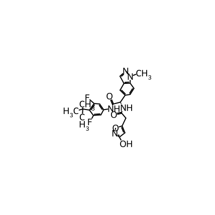 Cn1ncc2cc([C@H](NC(=O)Cc3cc(O)no3)C(=O)Nc3cc(F)c(C(C)(C)C)c(F)c3)ccc21